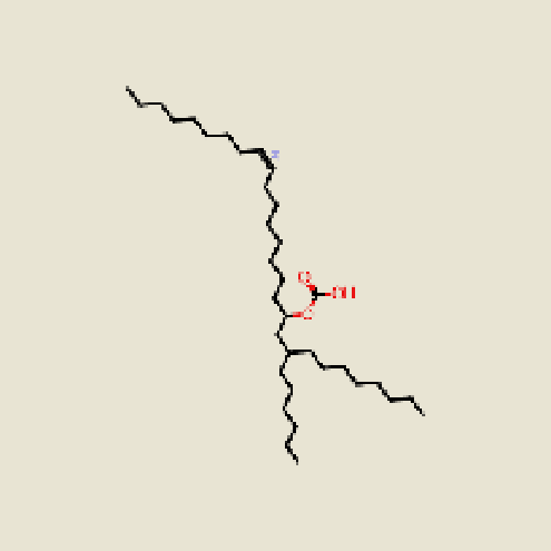 CCCCCCCC/C=C\CCCCCCCC(CC(CCCCCC)CCCCCCCC)OC(=O)O